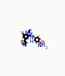 Cc1nc(NC[C@H]2CC[C@@H](C(N)=O)CC2)c2cc(-c3cncs3)cc(C)c2n1